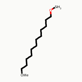 COCCCCCCCCCCCCO[SiH3]